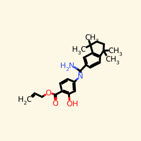 C=CCOC(=O)c1ccc(N=C(N)c2ccc3c(c2)C(C)(C)CCC3(C)C)cc1O